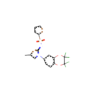 Cc1cn(-c2ccc3c(c2)OC(F)(F)C(F)(F)O3)c(=NS(=O)(=O)c2cccs2)s1